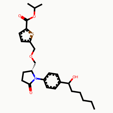 CCCCCC(O)c1ccc(N2C(=O)CC[C@@H]2COCc2ccc(C(=O)OC(C)C)s2)cc1